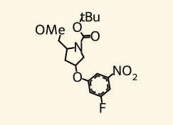 COCC1CC(Oc2cc(F)cc([N+](=O)[O-])c2)CN1C(=O)OC(C)(C)C